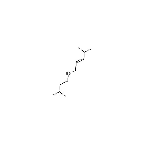 CC(C)C=CCOCCC(C)C